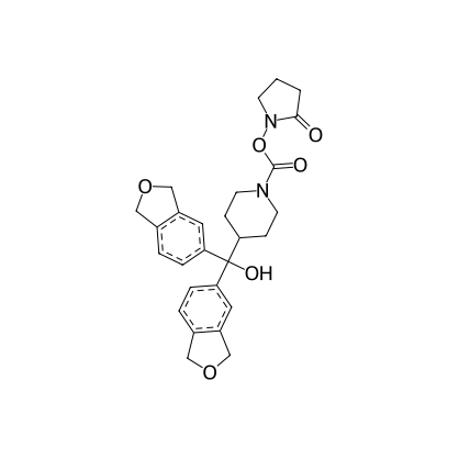 O=C(ON1CCCC1=O)N1CCC(C(O)(c2ccc3c(c2)COC3)c2ccc3c(c2)COC3)CC1